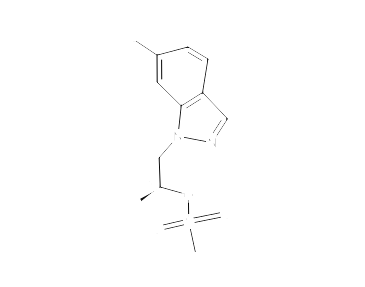 C[C@@H](Cn1ncc2ccc(I)cc21)OS(C)(=O)=O